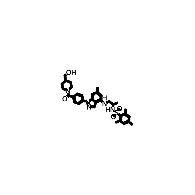 Cc1cc(C)c(S(=O)(=O)NC(C)CNc2cc(C)cc3c2cnn3-c2ccc(C(=O)N3CCC(CO)CC3)cc2)c(C)c1